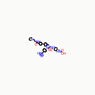 O=C(O)NC[C@H]1CC[C@H](C(=O)N[C@@H](Cc2ccc(-c3ccc(C(=O)NCCN4CCCC4)cc3)cc2)C(=O)Nc2ccc(-c3nnn[nH]3)cc2)CC1